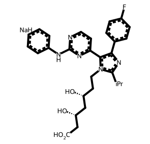 CC(C)c1nc(-c2ccc(F)cc2)c(-c2ccnc(Nc3ccccc3)n2)n1CC[C@@H](O)C[C@@H](O)CC(=O)O.[NaH]